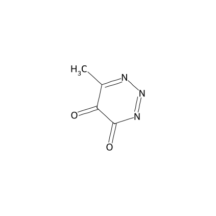 CC1=NN=NC(=O)C1=O